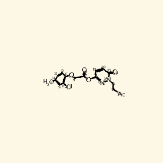 CC(=O)CCn1nc(OC(=O)COc2ccc(C)cc2Cl)ccc1=O